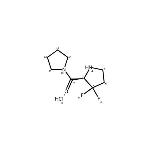 Cl.O=C([C@H]1NCCC1(F)F)N1CCCC1